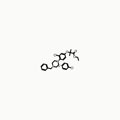 CCOC(=O)C(C)(C)Oc1ccc(N2CCN(Cc3ccccc3)C[C@H]2c2ccc(Cl)cc2)c(Cl)c1